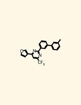 Cc1cccc(-c2cccc(-c3nc(-c4ccoc4)cc(C(F)(F)F)n3)c2)c1